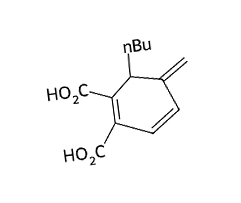 C=C1C=CC(C(=O)O)=C(C(=O)O)C1CCCC